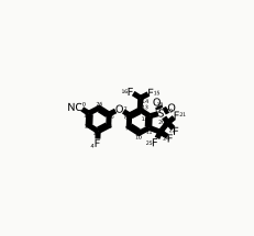 N#Cc1cc(F)cc(Oc2ccc3c(c2C(F)F)S(=O)(=O)C(F)(F)C3(F)F)c1